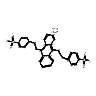 O=S(=O)([O-])c1ccc(CCc2c3ccccc3c(CCc3ccc(S(=O)(=O)[O-])cc3)c3ccccc23)cc1.[Na+].[Na+]